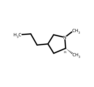 CCCC1C[C@@H](C)N(C)C1